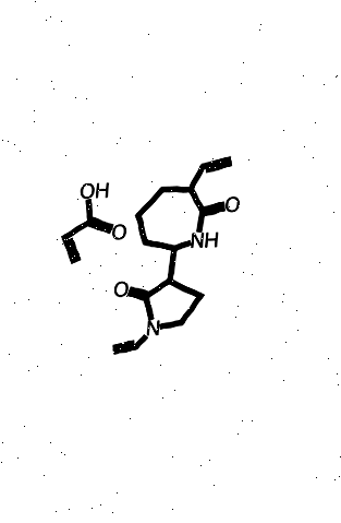 C=CC(=O)O.C=CC1CCCC(C2CCN(C=C)C2=O)NC1=O